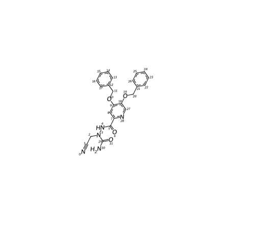 N#CCN(NC(=O)c1cc(OCc2ccccc2)c(OCc2ccccc2)cn1)C(N)=O